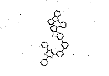 c1ccc(-c2nc(-c3ccccc3)nc(-c3cccc(-c4cccc(-c5ccc6c(c5)oc5cccc(-c7ccccc7-n7c8ccccc8c8ccccc87)c56)c4)c3)n2)cc1